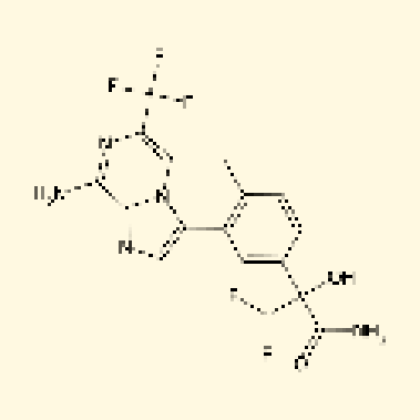 Cc1ccc(C(O)(C(N)=O)C(F)F)cc1-c1cnc2c(N)nc(C(F)(F)F)cn12